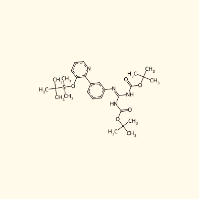 CC(C)(C)OC(=O)NC(=Nc1cccc(-c2ncccc2O[Si](C)(C)C(C)(C)C)c1)NC(=O)OC(C)(C)C